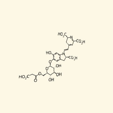 O=C(O)CC(=O)OC[C@H]1O[C@@H](Oc2cc3c(cc2O)N(/C=C/C2=CC(C(=O)O)=N[C@H](C(=O)O)C2)[C@@H](C(=O)O)C3)[C@H](O)[C@@H](O)[C@@H]1O